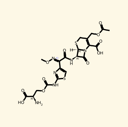 CO/N=C(/C(=O)N[C@@H]1C(=O)N2C(C(=O)O)=C(COC(C)=O)CS[C@H]12)c1csc(NC(=O)OC[C@@H](N)C(=O)O)n1